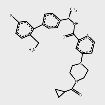 C[C@@H](NC(=O)c1cc(N2CCN(C(=O)C3CC3)CC2)ccn1)c1ccc(-c2cc(F)ccc2CN)cc1